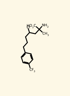 CCC(CCCc1ccc(C(F)(F)F)cc1)CC(C)(N)C(=O)O